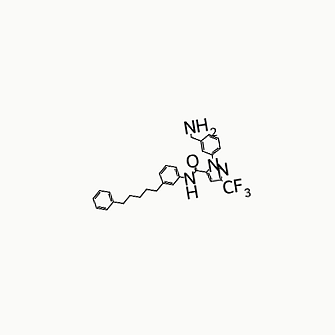 NCc1cccc(-n2nc(C(F)(F)F)cc2C(=O)Nc2cccc(CCCCCc3ccccc3)c2)c1